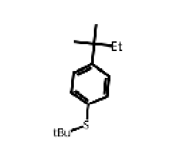 CCC(C)(C)c1ccc(SC(C)(C)C)cc1